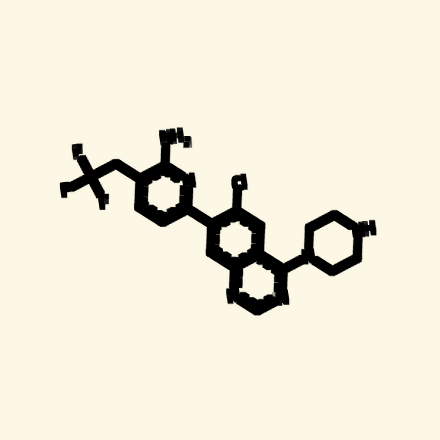 Nc1nc(-c2cc3ncnc(N4CCNCC4)c3cc2Cl)ccc1CC(F)(F)F